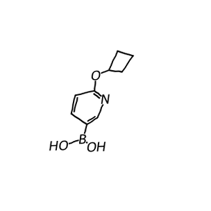 OB(O)c1ccc(OC2CCC2)nc1